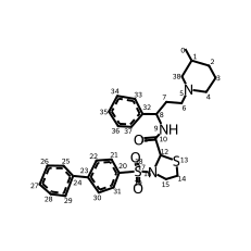 CC1CCCN(CCC(NC(=O)C2SCCN2S(=O)(=O)c2ccc(-c3ccccc3)cc2)c2ccccc2)C1